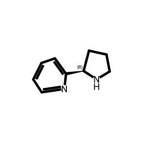 c1ccc([C@H]2CCCN2)nc1